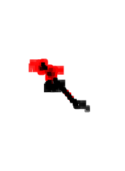 CCCCCCCCCCCCCCCCCCOC(=O)C(CC(=O)OCC(C(=O)O)C(=O)O)S(=O)(=O)O.[NaH].[NaH].[NaH].[NaH]